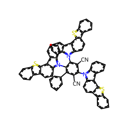 N#Cc1c(-c2ccccc2)c(-n2c3ccccc3c3c4sc5ccccc5c4ccc32)c(-n2c3ccccc3c3c4sc5ccccc5c4ccc32)c(C#N)c1-n1c2ccccc2c2c3sc4ccccc4c3ccc21